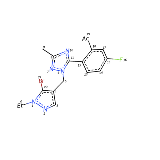 CCn1ncc(Cn2nc(C)nc2-c2ccc(F)cc2C(C)=O)c1Br